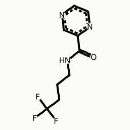 O=C(NCCCC(F)(F)F)c1cnccn1